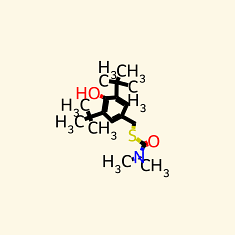 CN(C)C(=O)SCc1cc(C(C)(C)C)c(O)c(C(C)(C)C)c1